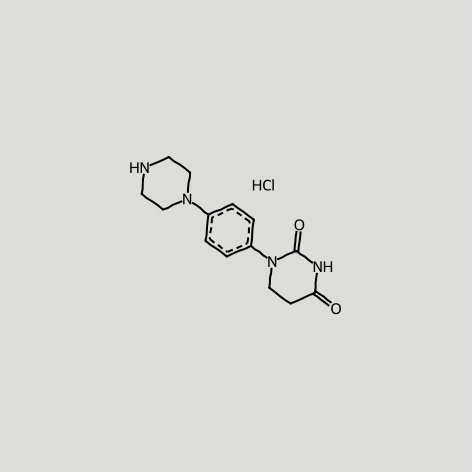 Cl.O=C1CCN(c2ccc(N3CCNCC3)cc2)C(=O)N1